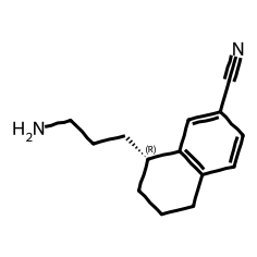 N#Cc1ccc2c(c1)[C@@H](CCCN)CCC2